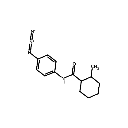 CC1CCCCC1C(=O)Nc1ccc(N=[N+]=[N-])cc1